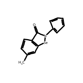 Cc1ccc2c(=O)n(-c3ccccc3)[se]c2c1